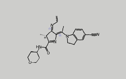 C=C/N=C1\C(=C(/C)N2CCc3cc(C#N)ccc32)N=C(C(=O)NC2CCOCC2)[C@@H]1C